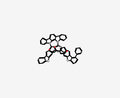 c1ccc(-c2cccc(-n3c4ccccc4c4ccc5c6ccccc6n(-c6nc(-c7ccc8c(c7)oc7ccccc78)nc(-c7ccc8c(c7)oc7cccc(-c9ccccc9)c78)n6)c5c43)c2)cc1